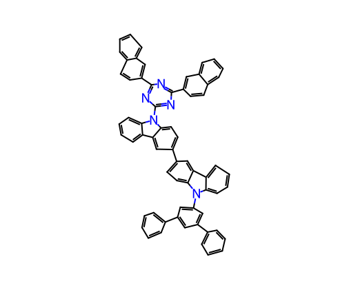 c1ccc(-c2cc(-c3ccccc3)cc(-n3c4ccccc4c4cc(-c5ccc6c(c5)c5ccccc5n6-c5nc(-c6ccc7ccccc7c6)nc(-c6ccc7ccccc7c6)n5)ccc43)c2)cc1